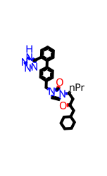 CCCC(CC(=O)CC1CCCCC1)n1ccn(Cc2ccc(-c3ccccc3-c3nnn[nH]3)cc2)c1=O